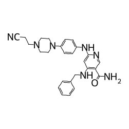 N#CCCN1CCN(c2ccc(Nc3cc(NCc4ccccc4)c(C(N)=O)cn3)cc2)CC1